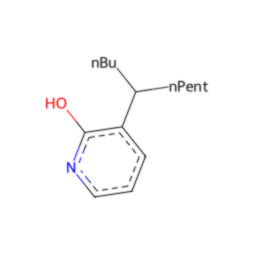 CCCCCC(CCCC)c1cccnc1O